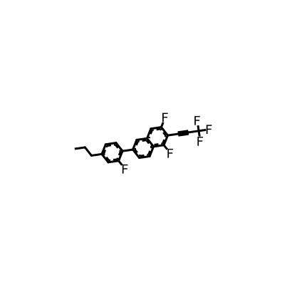 CCCc1ccc(-c2ccc3c(F)c(C#CC(F)(F)F)c(F)cc3c2)c(F)c1